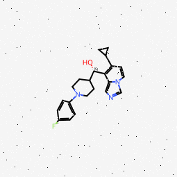 O[C@H](c1c(C2CC2)ccn2cncc12)C1CCN(c2ccc(F)cc2)CC1